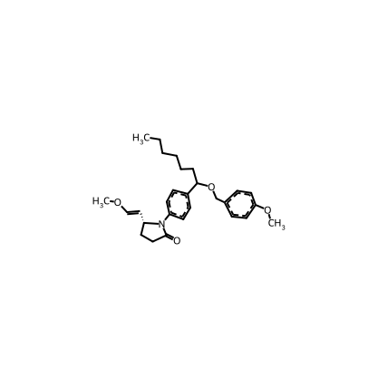 CCCCCCC(OCc1ccc(OC)cc1)c1ccc(N2C(=O)CC[C@@H]2C=COC)cc1